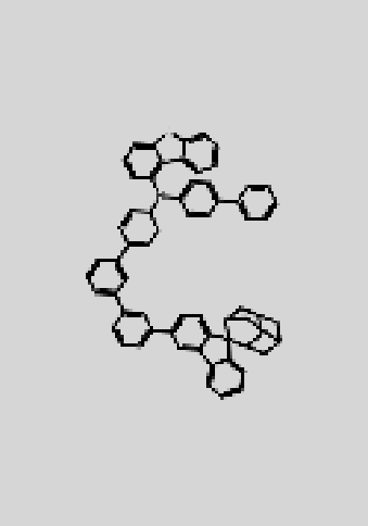 C1=CC(N(c2ccc(-c3ccccc3)cc2)c2cccc3oc4ccccc4c23)CC=C1c1cccc(-c2cccc(-c3ccc4c(c3)-c3ccccc3C43C4CC5CC(C4)CC3C5)c2)c1